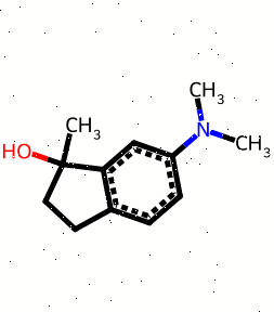 CN(C)c1ccc2c(c1)C(C)(O)CC2